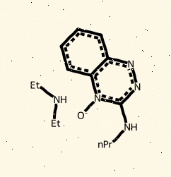 CCCNc1nnc2ccccc2[n+]1[O-].CCNCC